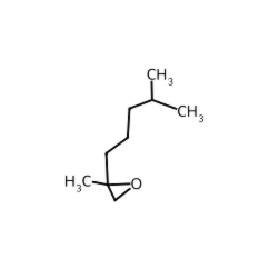 CC(C)CCCC1(C)CO1